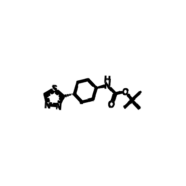 CC(C)(C)OC(=O)N[C@H]1CC[C@H](c2nncs2)CC1